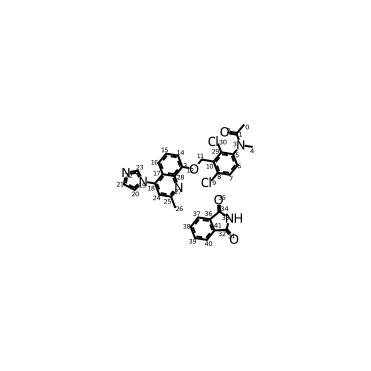 CC(=O)N(C)c1ccc(Cl)c(COc2cccc3c(-n4ccnc4)cc(C)nc23)c1Cl.O=C1NC(=O)c2ccccc21